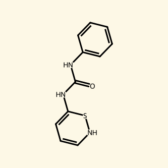 O=C(NC1=CC=CNS1)Nc1ccccc1